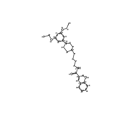 O=C(NCCCCN1CCN(c2cc(OCI)cc(OCI)c2)CC1)C1=Cc2ccccc2OC1